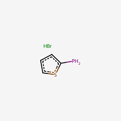 Br.Pc1cccs1